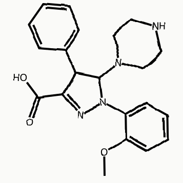 COc1ccccc1N1N=C(C(=O)O)C(c2ccccc2)C1N1CCNCC1